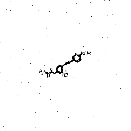 CC(=O)Nc1ccc(C#Cc2ccc(CC(=O)NN)cc2)cn1.Cl.Cl